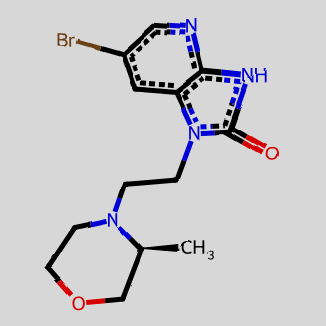 C[C@H]1COCCN1CCn1c(=O)[nH]c2ncc(Br)cc21